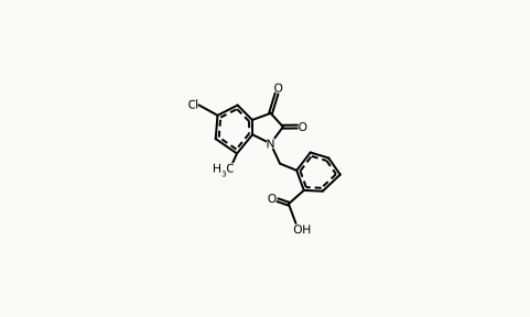 Cc1cc(Cl)cc2c1N(Cc1ccccc1C(=O)O)C(=O)C2=O